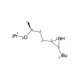 CCC(C)C1NC1CC[C@H](C)OC(C)C